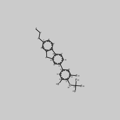 CCCc1ccc2c(c1)Cc1cc(-c3cc(F)c(OC(F)(F)F)c(F)c3)ccc1-2